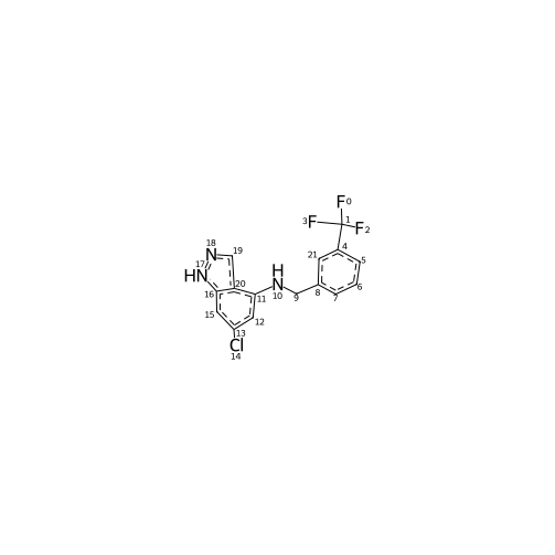 FC(F)(F)c1cccc(CNc2cc(Cl)cc3[nH]ncc23)c1